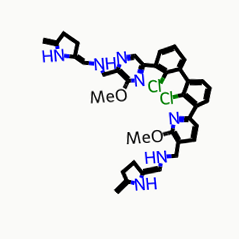 C=C1CC/C(=C\NCc2ccc(-c3cccc(-c4cccc(-c5cnc(CN/C=C6\CCC(=C)N6)c(OC)n5)c4Cl)c3Cl)nc2OC)N1